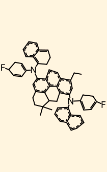 CCc1cc(N(C2=CC=C(F)CC2)c2cccc3ccccc23)c2c3c1ccc1c(N(C4=CCC(F)C=C4)C4=c5ccccc5=CCC4)cc4c(c13)C(C2)C(C)(C)CC4